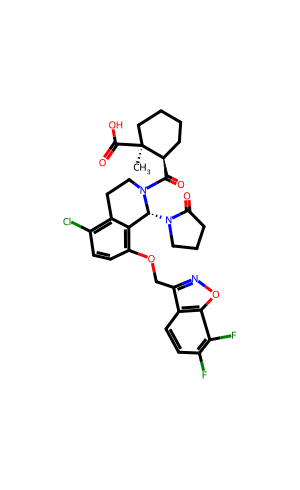 C[C@]1(C(=O)O)CCCC[C@H]1C(=O)N1CCc2c(Cl)ccc(OCc3noc4c(F)c(F)ccc34)c2[C@H]1N1CCCC1=O